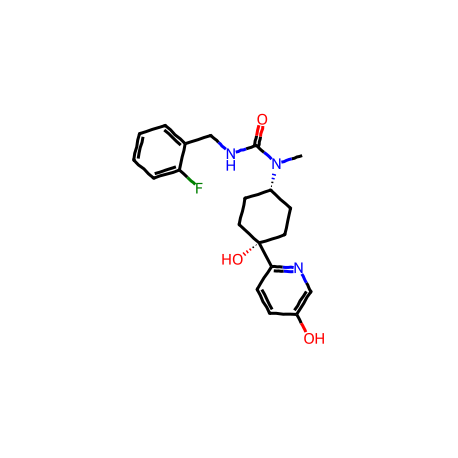 CN(C(=O)NCc1ccccc1F)[C@H]1CC[C@](O)(c2ccc(O)cn2)CC1